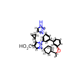 CC(Oc1cccc(-c2cccc(-n3ncc(C(=O)O)c3[C@H]3C[C@@H]3c3c[nH]nn3)c2)c1)C1CCCCC1